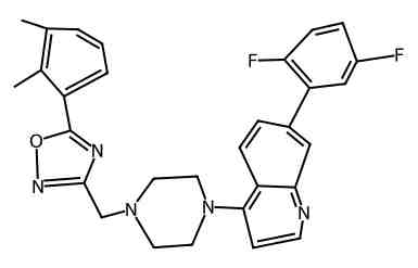 Cc1cccc(-c2nc(CN3CCN(c4ccnc5cc(-c6cc(F)ccc6F)ccc45)CC3)no2)c1C